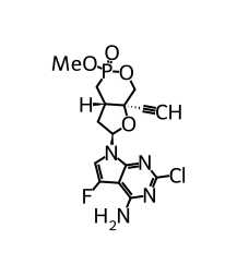 C#C[C@@]12COP(=O)(OC)C[C@H]1C[C@H](n1cc(F)c3c(N)nc(Cl)nc31)O2